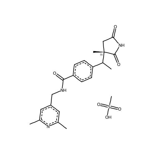 CS(=O)(=O)O.Cc1cc(CNC(=O)c2ccc(C(C)[C@]3(C)CC(=O)NC3=O)cc2)cc(C)n1